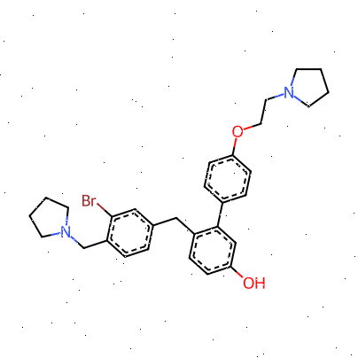 Oc1ccc(Cc2ccc(CN3CCCC3)c(Br)c2)c(-c2ccc(OCCN3CCCC3)cc2)c1